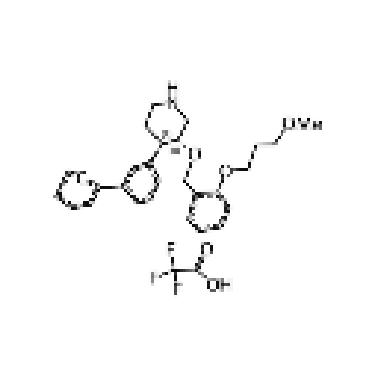 COCCCOc1ccccc1CO[C@H]1CNCC[C@@H]1c1cccc(-c2ccccc2)c1.O=C(O)C(F)(F)F